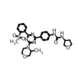 CC1COCCN1c1nc(-c2ccc(NC(=O)NC3CCOC3)cc2)nc(-c2ccccc2S(C)(=O)=O)n1